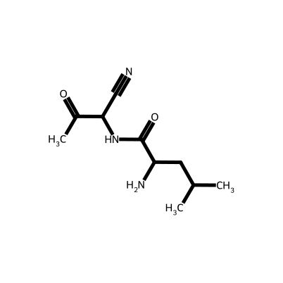 CC(=O)C(C#N)NC(=O)C(N)CC(C)C